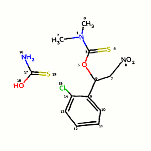 CN(C)C(=S)OC(C[N+](=O)[O-])c1ccccc1Cl.NC(O)=S